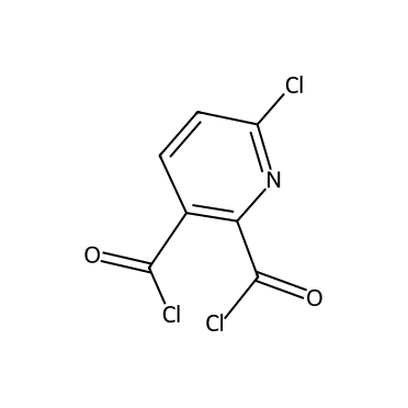 O=C(Cl)c1ccc(Cl)nc1C(=O)Cl